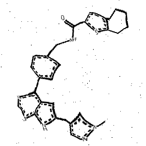 Cn1cc(-c2cc3c(-c4ccc(CNC(=O)c5cc6c(s5)CCCC6)cc4)ncnc3[nH]2)cn1